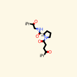 CC(C)C(=O)CCC(=O)N1CCC[C@H]1C(=O)NCC(=O)C(C)C